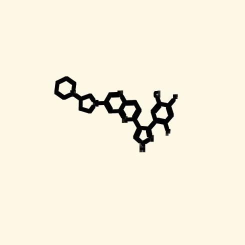 Fc1cc(F)c(-c2n[nH]cc2-c2ccc3ncc(N4CCC(N5CCCCC5)C4)cc3n2)cc1Cl